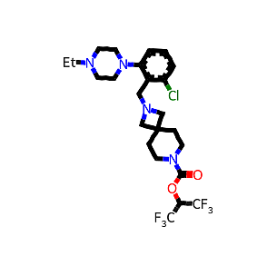 CCN1CCN(c2cccc(Cl)c2CN2CC3(CCN(C(=O)OC(C(F)(F)F)C(F)(F)F)CC3)C2)CC1